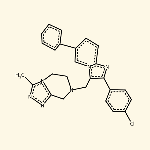 Cc1nnc2n1CCN(Cc1c(-c3ccc(Cl)cc3)nc3ccc(-c4ccccc4)cn13)C2